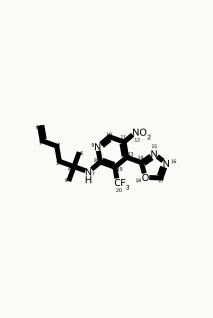 C=CCCC(C)(C)Nc1ncc([N+](=O)[O-])c(-c2nnco2)c1C(F)(F)F